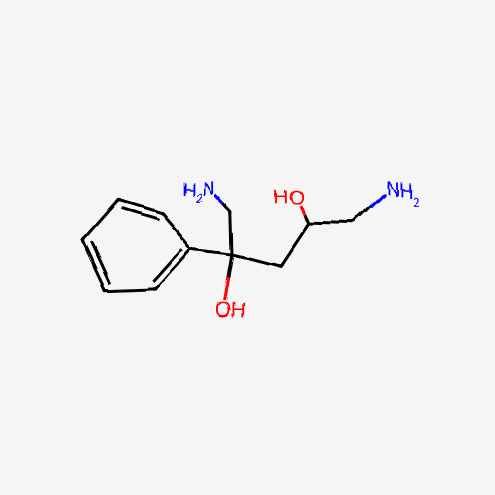 NCC(O)CC(O)(CN)c1ccccc1